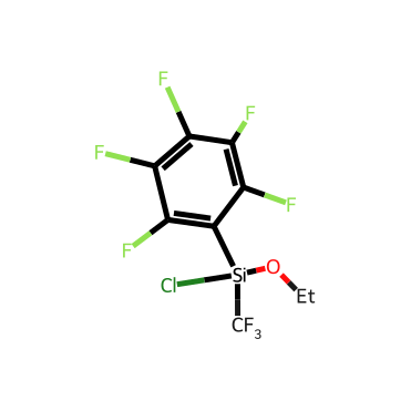 CCO[Si](Cl)(c1c(F)c(F)c(F)c(F)c1F)C(F)(F)F